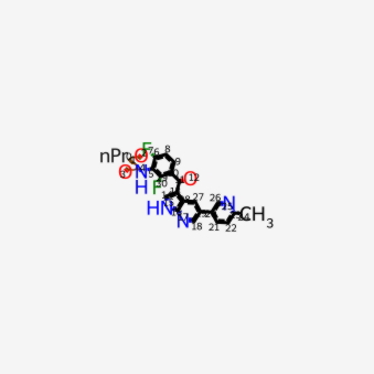 CCCS(=O)(=O)Nc1c(F)ccc(C(=O)c2c[nH]c3ncc(-c4ccc(C)nc4)cc23)c1F